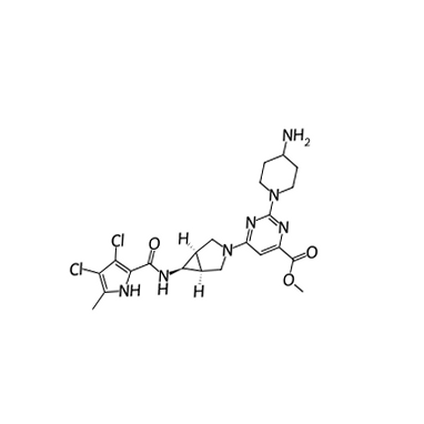 COC(=O)c1cc(N2C[C@@H]3[C@H](C2)[C@@H]3NC(=O)c2[nH]c(C)c(Cl)c2Cl)nc(N2CCC(N)CC2)n1